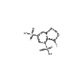 O=S(=O)(O)c1cc(S(=O)(=O)O)c2c([S])cccc2c1